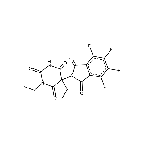 CCN1C(=O)NC(=O)C(CC)(N2C(=O)c3c(F)c(F)c(F)c(F)c3C2=O)C1=O